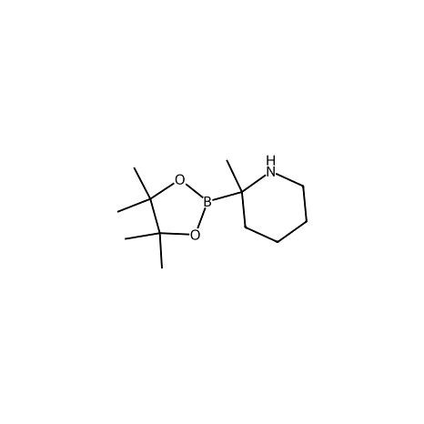 CC1(B2OC(C)(C)C(C)(C)O2)CCCCN1